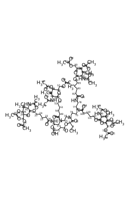 CCC(OC(=O)CCC(=O)O)C(=O)N(CCN(CCNC(=O)CCCCO[C@@H]1OC(COC(C)=O)[C@H](OC(C)=O)[C@H](C)C1NC(C)=O)C(=O)CCCCO[C@@H]1OC(COC(C)=O)[C@H](OC(C)=O)[C@H](C)C1NC(C)=O)CCN(CCNC(=O)CCCCO[C@@H]1OC(COC(C)=O)[C@H](OC(C)=O)[C@H](C)C1NC(C)=O)C(=O)CCCCO[C@@H]1OC(COC(C)=O)[C@H](OC(C)=O)[C@H](C)C1NC(C)=O